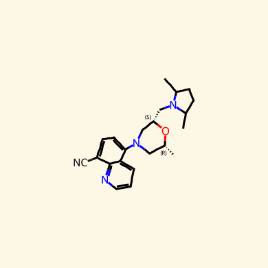 CC1CCC(C)N1C[C@H]1CN(c2ccc(C#N)c3ncccc23)C[C@@H](C)O1